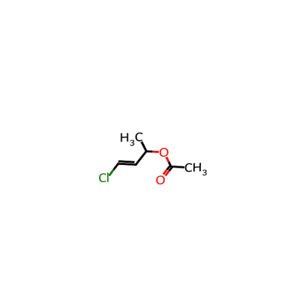 CC(=O)OC(C)C=CCl